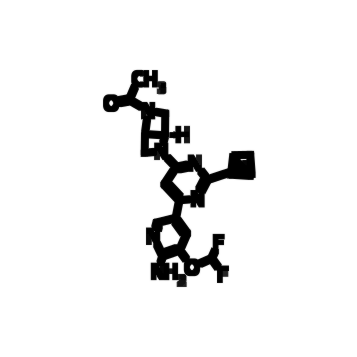 CC(=O)N1C[C@@H]2C1CN2c1cc(-c2cnc(N)c(OC(F)F)c2)nc(N2CC3CC2C3)n1